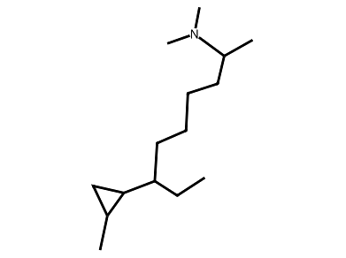 CCC(CCCCC(C)N(C)C)C1CC1C